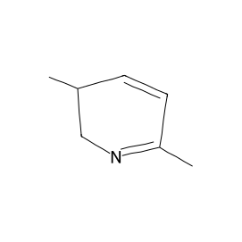 CC1=NCC(C)C=C1